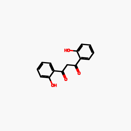 O=C(CC(=O)c1ccccc1O)c1ccccc1O